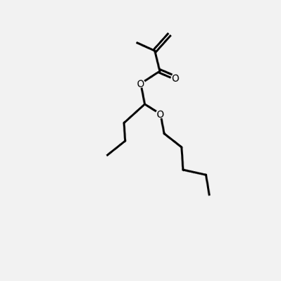 C=C(C)C(=O)OC(CCC)OCCCCC